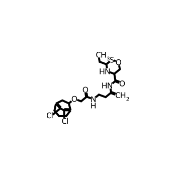 C=C(CCNC(=O)COC1CC2=C(Cl)C(Cl)=C1CCC2)NC(=O)C1COSC(CC)N1